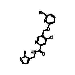 Cn1nccc1CNC(=O)c1cc(Cl)c(COc2cccc(Br)n2)cn1